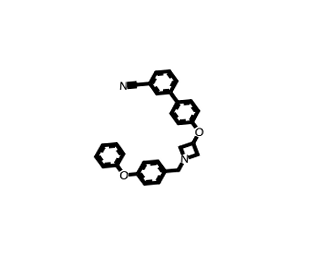 N#Cc1cccc(-c2ccc(OC3CN(Cc4ccc(Oc5ccccc5)cc4)C3)cc2)c1